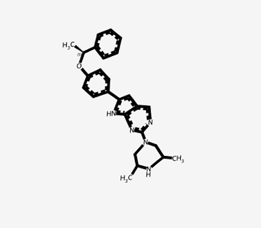 CC1CN(c2ncc3cc(-c4ccc(O[C@@H](C)c5ccccc5)cc4)[nH]c3n2)CC(C)N1